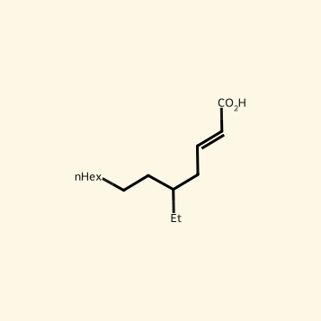 CCCCCCCCC(CC)C/C=C/C(=O)O